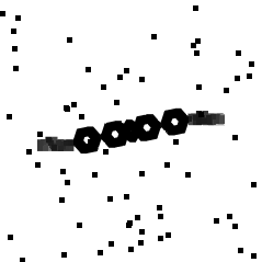 CCCCCCCCC[C@H]1CC[C@H](C2CCC3(CC2)CC2(CCC([C@H]4CC[C@H](CCCCCCCCC)CC4)CC2)C3)CC1